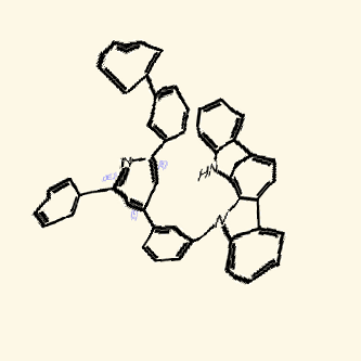 C\N=C(/C=C(\C=C\c1cccc(-c2ccccc2)c1)c1cccc(-n2c3ccccc3c3ccc4c5ccccc5[nH]c4c32)c1)c1ccccc1